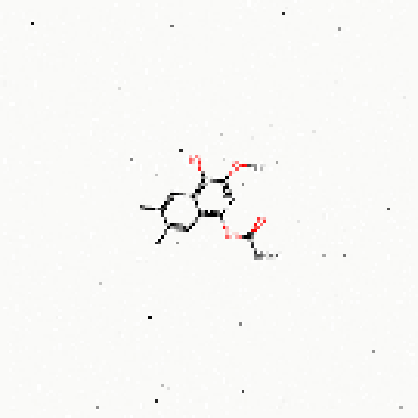 CCCCCCC(=O)Oc1cc(OCC)c(O)c2cc(C)c(C)cc12